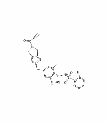 C#CC(=O)N1Cc2cn(Cc3cc(C)c4c(NS(=O)(=O)c5ccccc5F)noc4c3)nc2C1